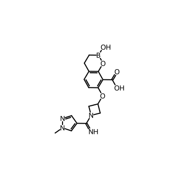 Cn1cc(C(=N)N2CC(Oc3ccc4c(c3C(=O)O)OB(O)CC4)C2)cn1